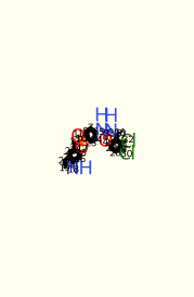 C[C@H](NC(=O)Nc1ccc(S(=O)(=O)Cc2ccc3[nH]ccc3c2)cc1)c1cccc(Cl)c1Cl